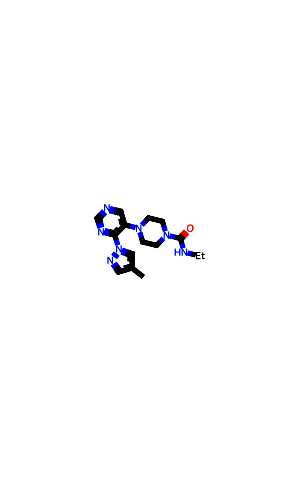 CCNC(=O)N1CCN(c2cncnc2-n2cc(C)cn2)CC1